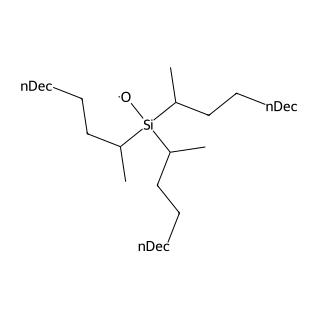 CCCCCCCCCCCCC(C)[Si]([O])(C(C)CCCCCCCCCCCC)C(C)CCCCCCCCCCCC